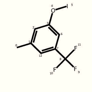 Cc1cc(OI)cc(C(F)(F)F)c1